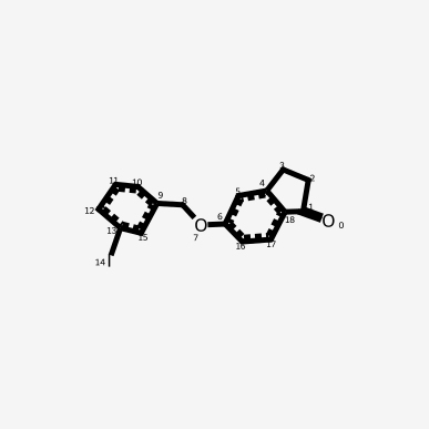 O=C1CCc2cc(OCc3cccc(I)c3)ccc21